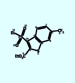 CCOC(=O)c1sc2cc(C(F)(F)F)ccc2c1S(=O)(=O)CC